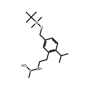 CB(O)NCCc1cc(CO[Si](C)(C)C(C)(C)C)ccc1C(C)C